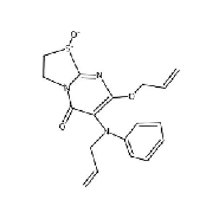 C=CCOc1nc2n(c(=O)c1N(CC=C)c1ccccc1)CC[S+]2[O-]